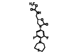 COC(=O)NCC1CN(c2cc(F)c(N3CCCSCC3)c(F)c2)C(=O)O1